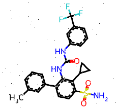 Cc1cccc(-c2ccc(S(N)(=O)=O)c(C3CC3)c2NC(=O)Nc2cccc(C(F)(F)F)c2)c1